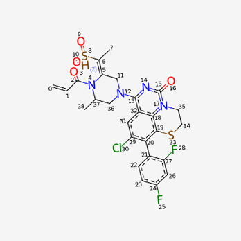 C=CC(=O)N1/C(=C(/C)[SH](=O)=O)CN(c2nc(=O)n3c4c(c(-c5ccc(F)cc5F)c(Cl)cc24)SCC3)CC1C